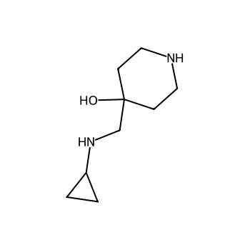 OC1(CNC2CC2)CCNCC1